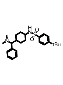 CN(C)C(c1ccccc1)C1CCC(NS(=O)(=O)c2ccc(C(C)(C)C)cc2)CC1